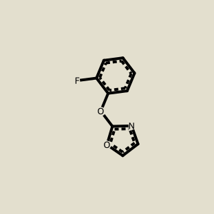 Fc1ccccc1Oc1ncco1